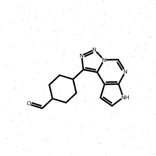 O=CC1CCC(c2nnn3cnc4[nH]ccc4c23)CC1